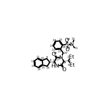 CCC(CC)[C@@H]1C(=O)N[C@H](C2Cc3ccccc3C2)C(=O)N1Cc1ccccc1S(=O)(=O)N(C)C